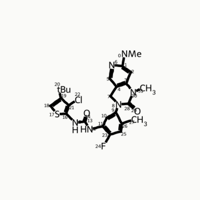 CNc1cc2c(cn1)CN(c1cc(NC(=O)Nc3scc(C(C)(C)C)c3Cl)c(F)cc1C)C(=O)N2C